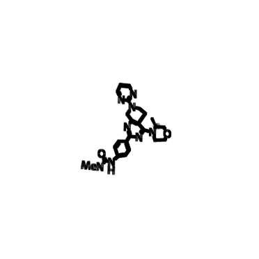 CNC(=O)Nc1ccc(-c2nc3c(c(N4CCOC[C@@H]4C)n2)CCN(c2ncccn2)C3)cc1